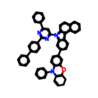 C1=CC2=C(CC1)Oc1cc(-c3ccc4c5c6ccccc6ccc5n(-c5cc(-c6ccccc6)nc(-c6ccc(-c7ccccc7)cc6)n5)c4c3)ccc1N2c1ccccc1